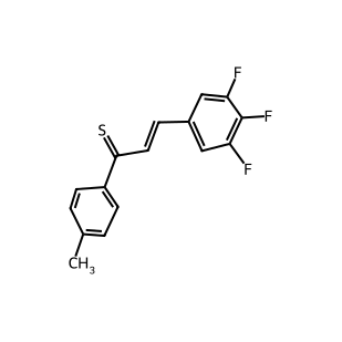 Cc1ccc(C(=S)C=Cc2cc(F)c(F)c(F)c2)cc1